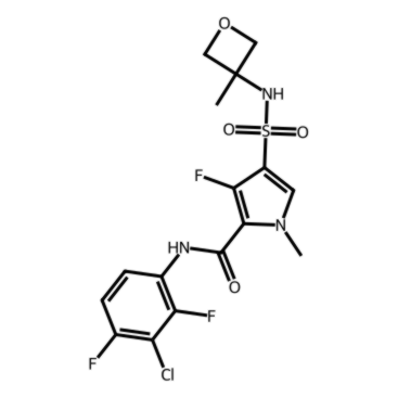 Cn1cc(S(=O)(=O)NC2(C)COC2)c(F)c1C(=O)Nc1ccc(F)c(Cl)c1F